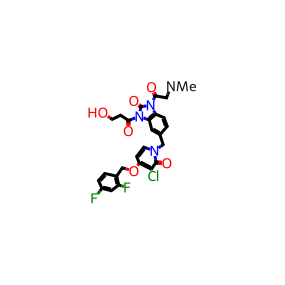 CNCC(=O)n1c(=O)n(C(=O)CCO)c2cc(Cn3ccc(OCc4ccc(F)cc4F)c(Cl)c3=O)ccc21